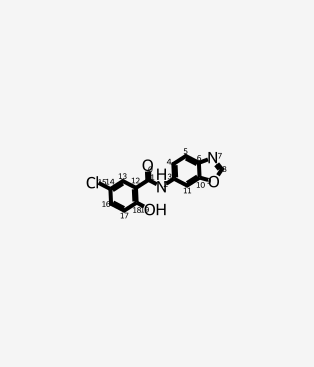 O=C(Nc1ccc2ncoc2c1)c1cc(Cl)ccc1O